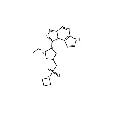 CC[C@H]1CC(CS(=O)(=O)N2CCC2)C[C@H]1c1nnc2cnc3[nH]ccc3n12